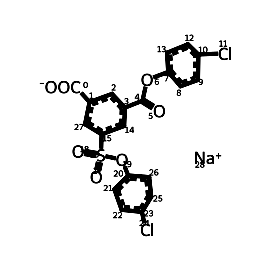 O=C([O-])c1cc(C(=O)Oc2ccc(Cl)cc2)cc(S(=O)(=O)Oc2ccc(Cl)cc2)c1.[Na+]